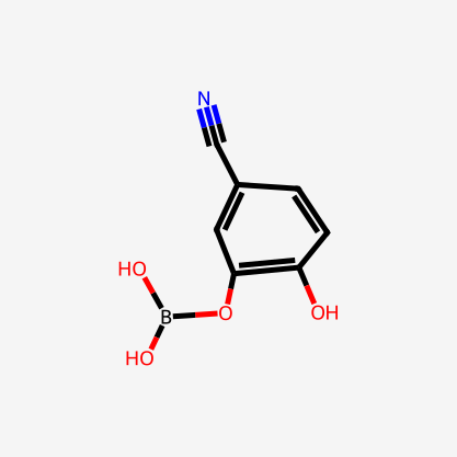 N#Cc1ccc(O)c(OB(O)O)c1